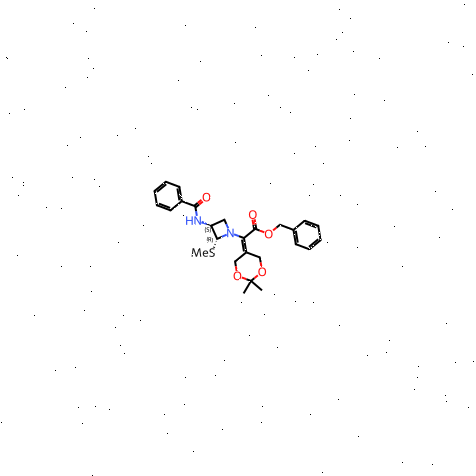 CS[C@@H]1[C@@H](NC(=O)c2ccccc2)CN1C(C(=O)OCc1ccccc1)=C1COC(C)(C)OC1